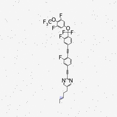 C/C=C/CCc1cnc(C#Cc2ccc(C#Cc3ccc(C(F)(F)Oc4cc(F)c(OC(F)(F)F)c(F)c4)c(F)c3)c(F)c2)nc1